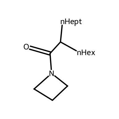 CCCCCCCC(CCCCCC)C(=O)N1CCC1